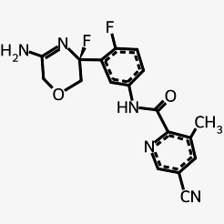 Cc1cc(C#N)cnc1C(=O)Nc1ccc(F)c([C@]2(F)COCC(N)=N2)c1